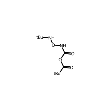 CC(C)(C)NONC(=O)OC(=O)C(C)(C)C